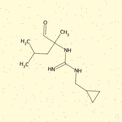 CC(C)CC(C)(C=O)NC(=N)NCC1CC1